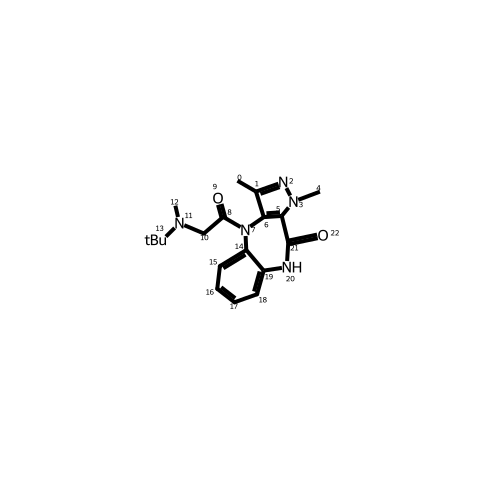 Cc1nn(C)c2c1N(C(=O)CN(C)C(C)(C)C)c1ccccc1NC2=O